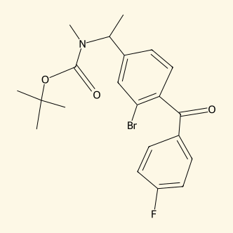 CC(c1ccc(C(=O)c2ccc(F)cc2)c(Br)c1)N(C)C(=O)OC(C)(C)C